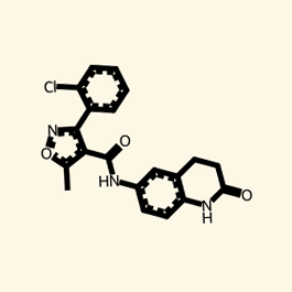 Cc1onc(-c2ccccc2Cl)c1C(=O)Nc1ccc2c(c1)CCC(=O)N2